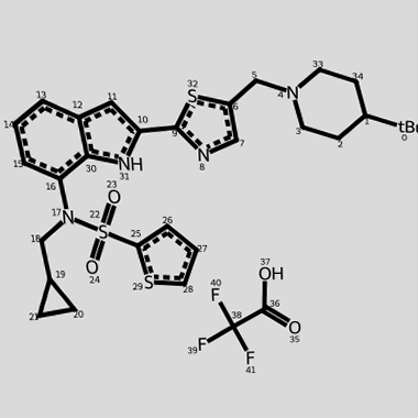 CC(C)(C)C1CCN(Cc2cnc(-c3cc4cccc(N(CC5CC5)S(=O)(=O)c5cccs5)c4[nH]3)s2)CC1.O=C(O)C(F)(F)F